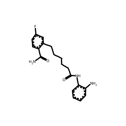 NC(=O)c1ccc(F)cc1CCCCCC(=O)Nc1ccccc1N